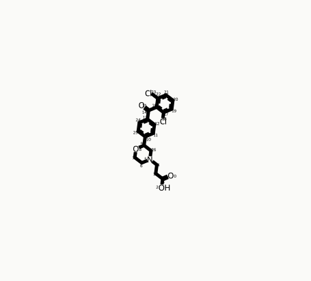 O=C(O)CCN1CCOC(c2ccc(C(=O)c3c(Cl)cccc3Cl)cc2)C1